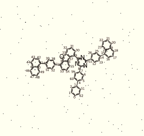 c1ccc(-c2ccc(-c3nc(-c4ccc(-c5cccc6ccccc56)cc4)nc(-c4cccc5oc6c(-c7ccc(-c8cccc9ccccc89)cc7)cccc6c45)n3)cc2)cc1